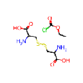 CCOC(=O)Cl.NC(CSSCC(N)C(=O)O)C(=O)O